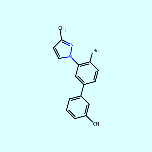 CCC(C)c1ccc(-c2cccc(C#N)c2)cc1-n1ccc(C)n1